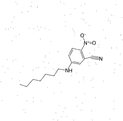 CCCCCCCNc1ccc([N+](=O)[O-])c(C#N)c1